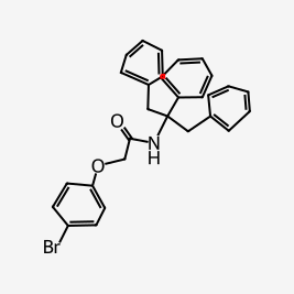 O=C(COc1ccc(Br)cc1)NC(Cc1ccccc1)(Cc1ccccc1)c1ccccc1